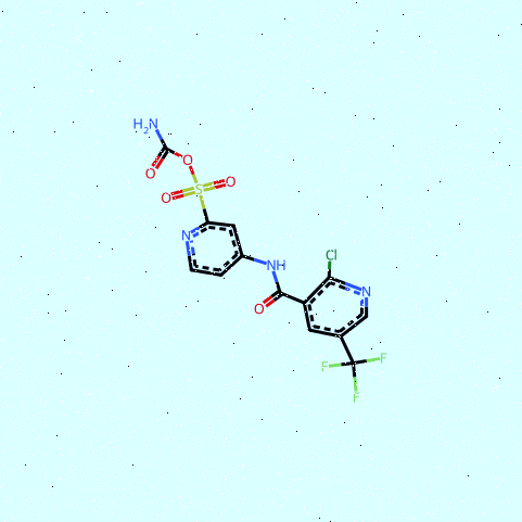 NC(=O)OS(=O)(=O)c1cc(NC(=O)c2cc(C(F)(F)F)cnc2Cl)ccn1